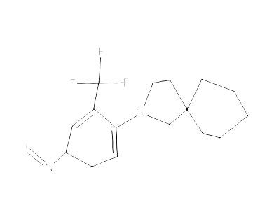 O=NC1C=C(C(F)(F)F)C(N2CCC3(CCCCC3)C2)=CC1